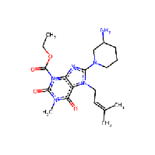 CCOC(=O)n1c(=O)n(C)c(=O)c2c1nc(N1CCCC(N)C1)n2CC=C(C)C